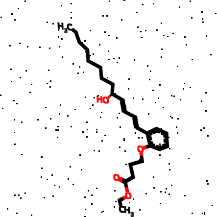 CCCCCCCC[C@@H](O)/C=C/C=C/c1ccccc1OCCCC(=O)OCC